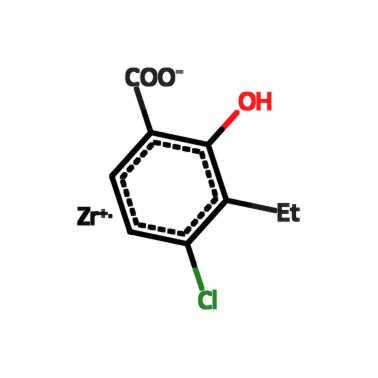 CCc1c(Cl)ccc(C(=O)[O-])c1O.[Zr+]